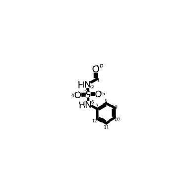 O=CNS(=O)(=O)Nc1ccccc1